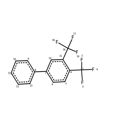 FC(F)(F)c1ccc(-c2cc[c]cc2)cc1C(F)(F)F